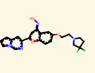 ON=c1cc(-c2cc3cccn3cn2)oc2ccc(OCCN3CCC(F)(F)C3)cc12